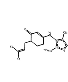 CCCCCn1ncc(C#N)c1NC1=CC(=O)C(CC=C(Cl)Cl)CC1